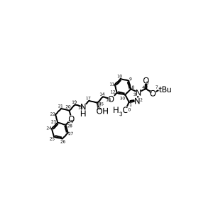 Cc1nn(C(=O)OC(C)(C)C)c2cccc(OC[C@@H](O)CNCC3CCc4ccccc4O3)c12